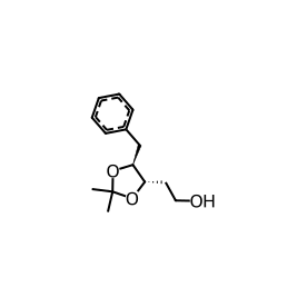 CC1(C)O[C@@H](CCO)[C@H](Cc2ccccc2)O1